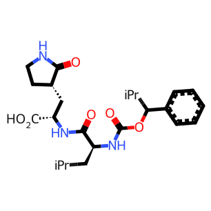 CC(C)C[C@H](NC(=O)OC(c1ccccc1)C(C)C)C(=O)N[C@@H](C[C@@H]1CCNC1=O)C(=O)O